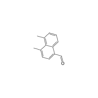 Cc1cccc2c(C=O)ccc(C)c12